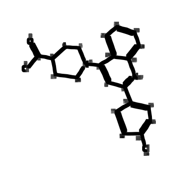 O=C(Cl)C1CCN(c2cc(-c3ccc(Cl)cc3)nc3ccccc23)CC1